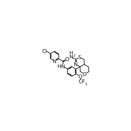 NC1=NC2(c3cc(NC(=O)c4ccc(Cl)cn4)ccc3OC(F)(F)F)COCCC2CS1